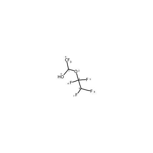 OC(OC(F)(F)C(F)F)C(F)(F)F